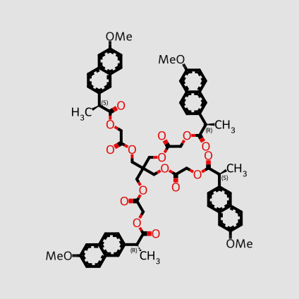 COc1ccc2cc([C@H](C)C(=O)OCC(=O)OCC(COC(=O)COC(=O)[C@@H](C)c3ccc4cc(OC)ccc4c3)(COC(=O)COC(=O)[C@H](C)c3ccc4cc(OC)ccc4c3)COC(=O)COC(=O)[C@H](C)c3ccc4cc(OC)ccc4c3)ccc2c1